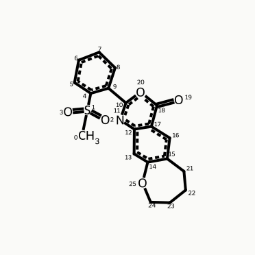 CS(=O)(=O)c1ccccc1-c1nc2cc3c(cc2c(=O)o1)CCCCO3